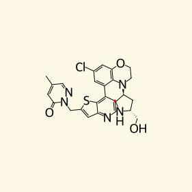 Cc1cnn(Cc2cc3nccc(-c4cc(Cl)cc5c4N([C@@H]4CN[C@@H](CO)C4)CCO5)c3s2)c(=O)c1